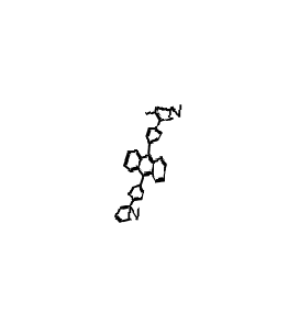 Cc1ccncc1-c1ccc(-c2c3ccccc3c(-c3ccc(-c4ccccn4)cc3)c3ccccc23)cc1